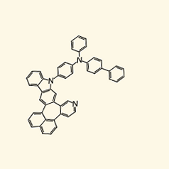 c1ccc(-c2ccc(N(c3ccccc3)c3ccc(-n4c5ccccc5c5cc6c(cc54)-c4cnccc4-c4cccc5cccc-6c45)cc3)cc2)cc1